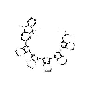 C/C(C#N)=C/c1sc(-c2sc(-c3sc(-c4sc(-c5sc(-c6ccc7c(c6)C(C)(C)c6ccccc6N7C)c6c5OCCO6)c5c4OCCO5)c4c3OCCO4)c3c2OCCO3)c2c1OCCO2